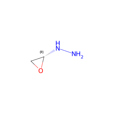 NN[C@H]1CO1